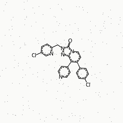 O=c1n(Cc2ccc(Cl)cn2)nc2c(-c3ccncc3)c(-c3ccc(Cl)cc3)ccn12